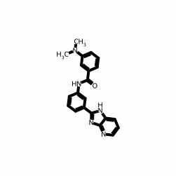 CN(C)c1cccc(C(=O)Nc2cccc(-c3nc4ncccc4[nH]3)c2)c1